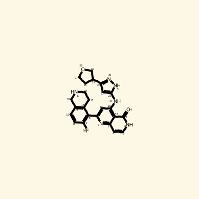 O=c1[nH]ccc2nc(-c3c(F)ccc4c3CCNC4)cc(Nc3cc(C4CCOC4)n[nH]3)c12